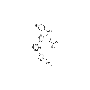 NC(=O)CC[C@@H](C(=O)N1CCNCC1)n1cc(-c2cccc(-c3cn(CC(=O)O)nn3)n2)nn1